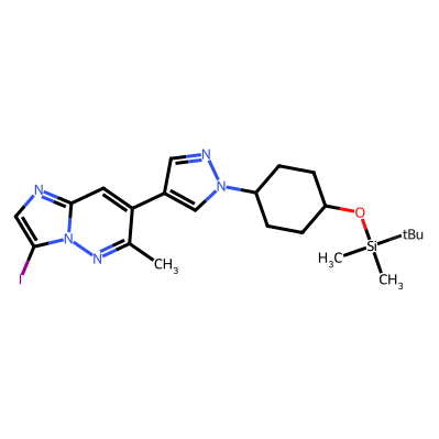 Cc1nn2c(I)cnc2cc1-c1cnn(C2CCC(O[Si](C)(C)C(C)(C)C)CC2)c1